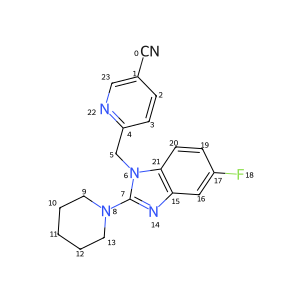 N#Cc1ccc(Cn2c(N3CCCCC3)nc3cc(F)ccc32)nc1